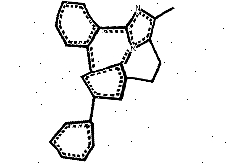 Cc1nc2c3ccccc3c3cc(-c4ccccc4)cc4c3n2c1CC4